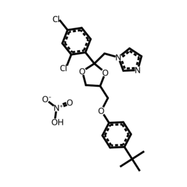 CC(C)(C)c1ccc(OCC2COC(Cn3ccnc3)(c3ccc(Cl)cc3Cl)O2)cc1.O=[N+]([O-])O